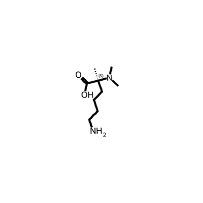 CN(C)[C@@](C)(CCCCN)C(=O)O